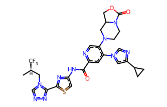 C[C@H](Cn1cnnc1-c1nc(NC(=O)c2cc(-n3cnc(C4CC4)c3)c(N3CCN4C(=O)OCC4C3)cn2)cs1)C(F)(F)F